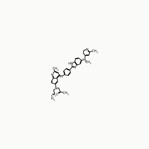 C=C(C)CN(CCC)c1ccc2nc(C)cc(Nc3ccc(-c4nc5cc(N(C)C6=CC(C)=NCC6)ccc5[nH]4)cc3)c2c1